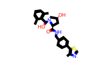 Cc1cccc(C)c1C(O)N1C[C@H](O)C[C@H]1C(=O)NCc1ccc(-c2scnc2C)cc1